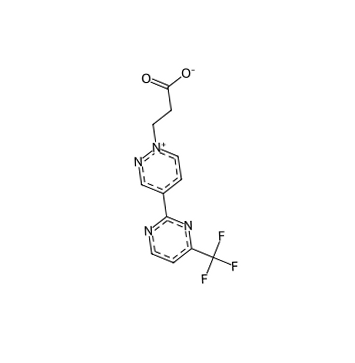 O=C([O-])CC[n+]1ccc(-c2nccc(C(F)(F)F)n2)cn1